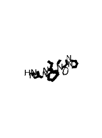 CCc1nn(Cc2cn[nH]c2)c2cccc(N(CC)C(=O)c3cnc4ccccn34)c12